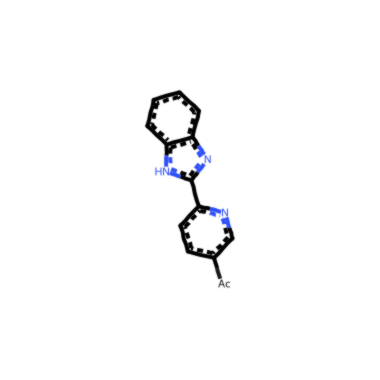 CC(=O)c1ccc(-c2nc3ccccc3[nH]2)nc1